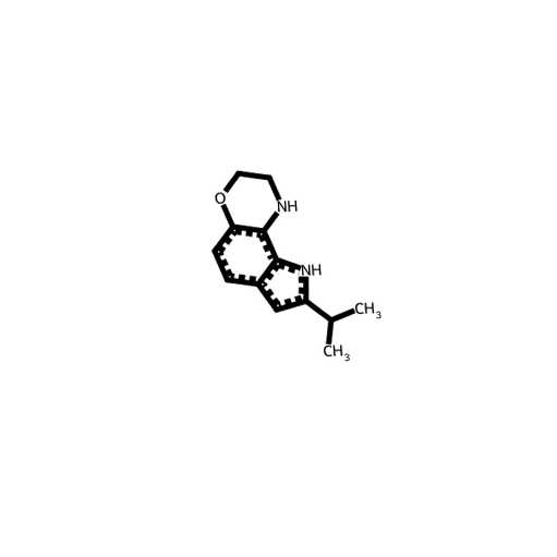 CC(C)c1cc2ccc3c(c2[nH]1)NCCO3